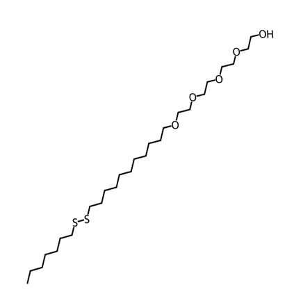 CCCCCCCSSCCCCCCCCCCCOCCOCCOCCOCCO